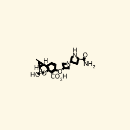 C[C@@H]1[C@@H]2B(O)Oc3c(ccc(OC4CN([C@H]5CN[C@@H](C(N)=O)C5)C4)c3C(=O)O)[C@H]12